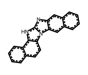 c1ccc2cc3c(cc2c1)nc1[nH]c2c4ccccc4ccc2n13